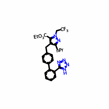 CCCc1nn(CC(F)(F)F)c(C(=O)OCC)c1Cc1ccc(-c2ccccc2-c2nnn[nH]2)cc1